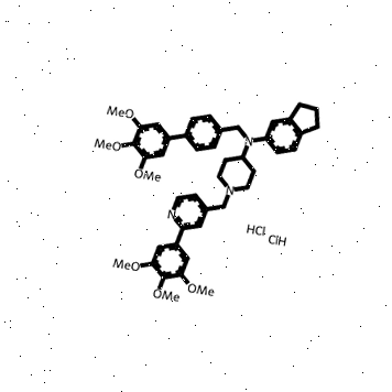 COc1cc(-c2ccc(CN(c3ccc4c(c3)CCC4)C3CCN(Cc4ccnc(-c5cc(OC)c(OC)c(OC)c5)c4)CC3)cc2)cc(OC)c1OC.Cl.Cl